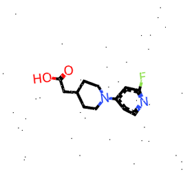 O=C(O)CC1CCN(c2ccnc(F)c2)CC1